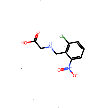 O=C(O)CNCc1c(Cl)cccc1[N+](=O)[O-]